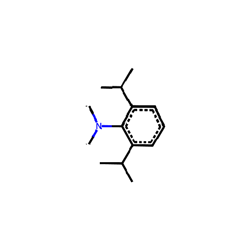 [CH2]N([CH2])c1c(C(C)C)cccc1C(C)C